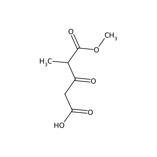 COC(=O)C(C)C(=O)CC(=O)O